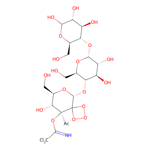 CC(=O)[C@]1(OC(=N)C(Cl)(Cl)Cl)[C@H](O)[C@@H](CO)O[C@H](O[C@H]2[C@H](O)[C@@H](O)[C@@H](O[C@H]3[C@H](O)[C@@H](O)C(O)O[C@@H]3CO)O[C@@H]2CO)C12OOO2